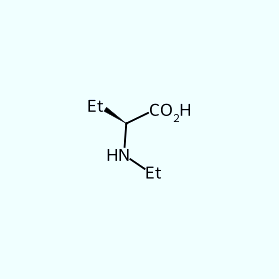 CCN[C@@H](CC)C(=O)O